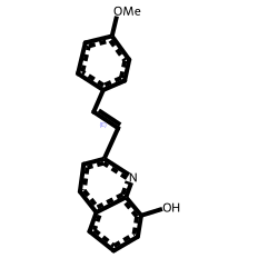 COc1ccc(/C=C/c2ccc3cccc(O)c3n2)cc1